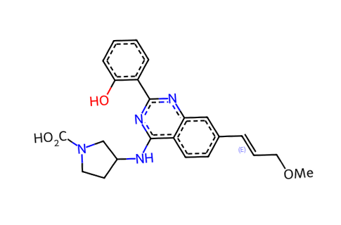 COC/C=C/c1ccc2c(NC3CCN(C(=O)O)C3)nc(-c3ccccc3O)nc2c1